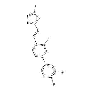 Cc1cnc(/N=C/c2ccc(-c3ccc(F)c(F)c3)cc2F)s1